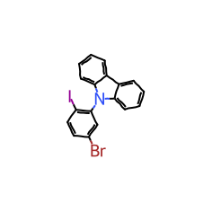 Brc1ccc(I)c(-n2c3ccccc3c3ccccc32)c1